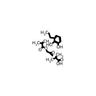 C=C(C)C(=O)O.C=C(C)C(=O)OCC1CO1.CCCc1cccc(O)c1O